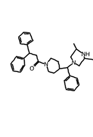 CC1CN(C(c2ccccc2)C2CCN(C(=O)CC(c3ccccc3)c3ccccc3)CC2)CC(C)N1